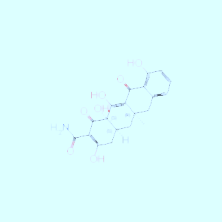 C[C@@]12Cc3cccc(O)c3C(=O)C1=C(O)[C@]1(O)C(=O)C(C(N)=O)=C(O)C[C@@H]1C2